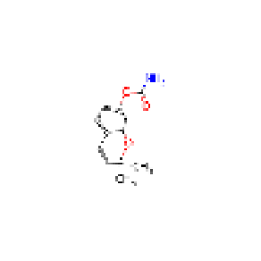 CC1(C)C=Cc2ccc(OC(N)=O)cc2O1